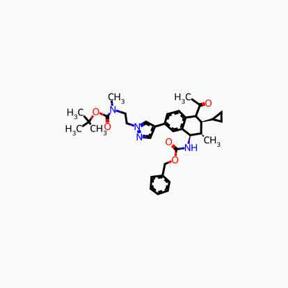 CC(=O)C1c2ccc(-c3cnn(CCN(C)C(=O)OC(C)(C)C)c3)cc2[C@H](NC(=O)OCc2ccccc2)[C@@H](C)[C@@H]1C1CC1